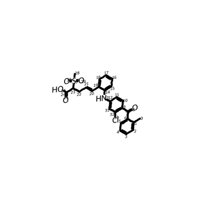 Cc1ccccc1C(=O)c1ccc(Nc2ccccc2C=CCC(C(=O)O)S(C)(=O)=O)cc1Cl